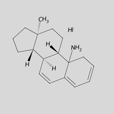 C[C@@]12CCC[C@H]1[C@@H]1C=CC3=CC=CCC3(N)[C@H]1CC2.I